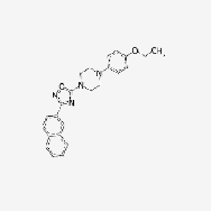 CCOc1ccc(N2CCN(c3nc(-c4ccc5ccccc5c4)no3)CC2)cc1